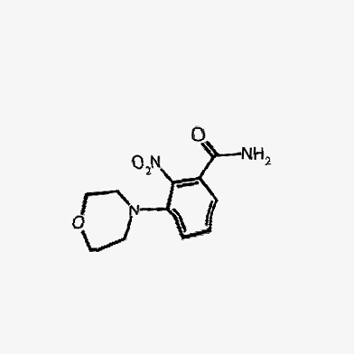 NC(=O)c1cccc(N2CCOCC2)c1[N+](=O)[O-]